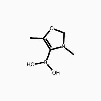 CC1=C(B(O)O)N(C)CO1